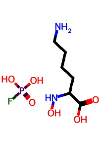 NCCCCC(NO)C(=O)O.O=P(O)(O)F